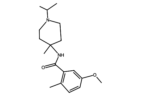 COc1ccc(C)c(C(=O)NC2(C)CCN(C(C)C)CC2)c1